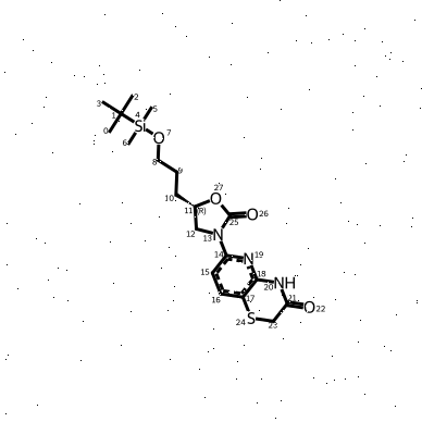 CC(C)(C)[Si](C)(C)OCCC[C@@H]1CN(c2ccc3c(n2)NC(=O)CS3)C(=O)O1